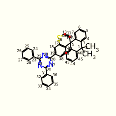 CC1(C)c2ccccc2C2(c3ccccc3Sc3cc(-c4nc(-c5ccccc5)nc(-c5ccccc5)n4)ccc32)c2ccccc21